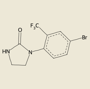 O=C1NCCN1c1ccc(Br)cc1C(F)(F)F